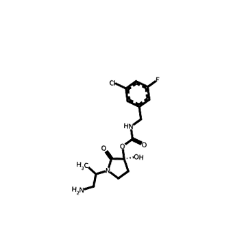 CC(CN)N1CC[C@](O)(OC(=O)NCc2cc(F)cc(Cl)c2)C1=O